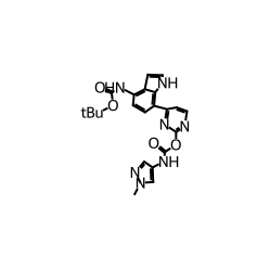 Cn1cc(NC(=O)Oc2nccc(-c3ccc(NC(=O)OC(C)(C)C)c4cc[nH]c34)n2)cn1